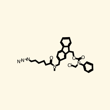 CN(Cc1ccc2c(c1)C(COC(=O)N(CCl)c1ccccc1)c1ccccc1-2)C(=O)CCCCCN=[N+]=[N-]